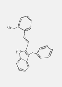 Brc1ccccc1/C=C/c1[nH]c2ccccc2c1-c1ccccc1